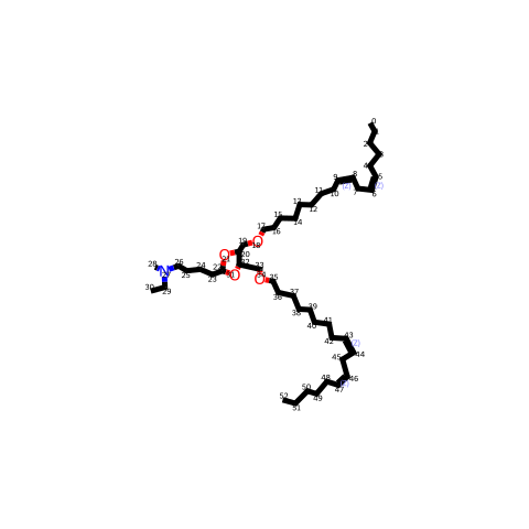 CCCCC/C=C\C/C=C\CCCCCCCCOCC1OC(CCCCN(C)CC)OC1COCCCCCCCC/C=C\C/C=C\CCCCC